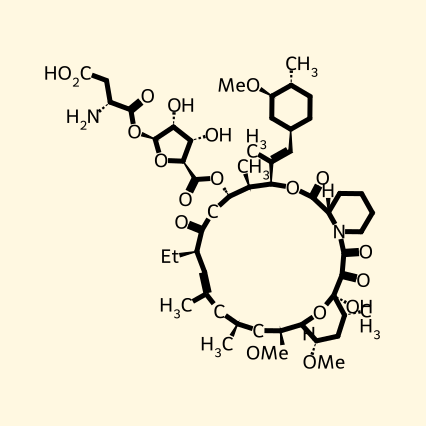 CC[C@@H]1/C=C(\C)C[C@H](C)C[C@H](OC)[C@H]2O[C@@](O)(C(=O)C(=O)N3CCCC[C@H]3C(=O)O[C@H](/C(C)=C/[C@@H]3CC[C@@H](C)[C@H](OC)C3)[C@H](C)[C@@H](OC(=O)[C@H]3O[C@@H](OC(=O)[C@H](N)CC(=O)O)[C@H](O)[C@@H]3O)CC1=O)[C@H](C)C[C@@H]2OC